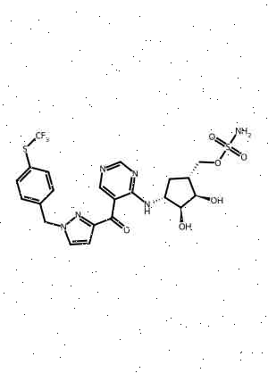 NS(=O)(=O)OC[C@H]1C[C@@H](Nc2ncncc2C(=O)c2ccn(Cc3ccc(SC(F)(F)F)cc3)n2)[C@H](O)[C@@H]1O